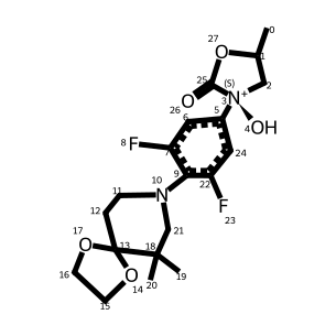 CC1C[N@+](O)(c2cc(F)c(N3CCC4(OCCO4)C(C)(C)C3)c(F)c2)C(=O)O1